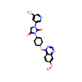 CCOc1ccc2c(O[C@H]3CC[C@H](N4C(=O)CN(c5cncc(C(F)(F)F)c5)C4=O)CC3)ncnc2c1